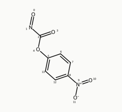 O=NC(=O)Oc1ccc([N+](=O)[O-])cc1